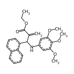 C=C(C(=O)OCC)C(Nc1cc(OC)c(OC)c(OC)c1)c1cccc2ccccc12